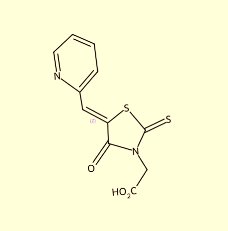 O=C(O)CN1C(=O)/C(=C/c2ccccn2)SC1=S